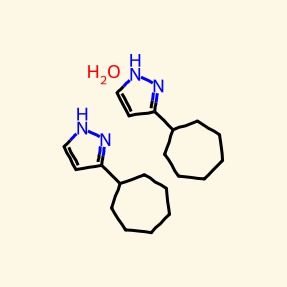 O.c1cc(C2CCCCCC2)n[nH]1.c1cc(C2CCCCCC2)n[nH]1